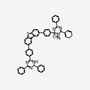 C[C@@]1(c2ccc(-c3ccc4sc5ccc(-c6ccc(C7=NC(c8ccccc8)=NC(c8ccccc8)N7)cc6)cc5c4c3)cc2)N=C(c2ccccc2)N=C(C2=CCCC=C2)N1